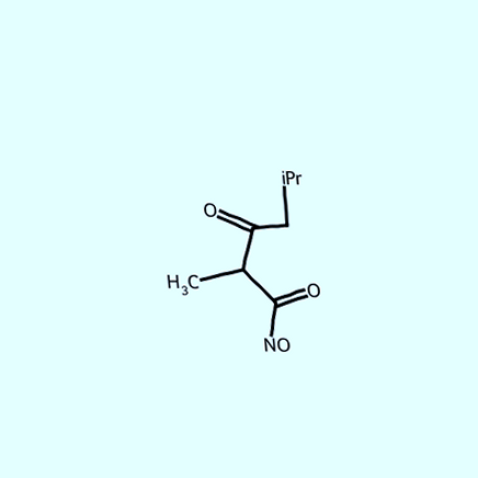 CC(C)CC(=O)C(C)C(=O)N=O